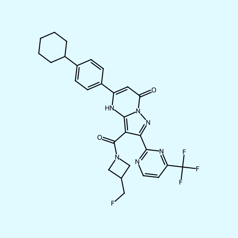 O=C(c1c(-c2nccc(C(F)(F)F)n2)nn2c(=O)cc(-c3ccc(C4CCCCC4)cc3)[nH]c12)N1CC(CF)C1